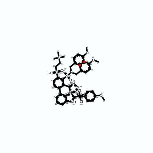 COc1ccc(CN(Cc2ccc(OC)cc2)S(=O)(=O)c2c(S(=O)(=O)CC[Si](C)(C)C)ccc(-c3cccc4[nH]c(C(Cl)(Cl)Cl)nc34)c2-c2nnn(Cc3ccc(OC)cc3)n2)cc1